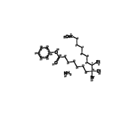 CCCCCCCCCCCCCCCCC(CC)C(Br)(CC)CCCCCCC(=O)Oc1ccccc1.N